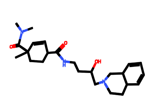 CN(C)C(=O)C1(C)C=CC(C(=O)NCCC(O)CN2CCC3C=CC=CC3C2)CC1